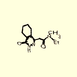 CCN(C)C(=O)Cc1n[nH]c(=O)c2c1CCCC2